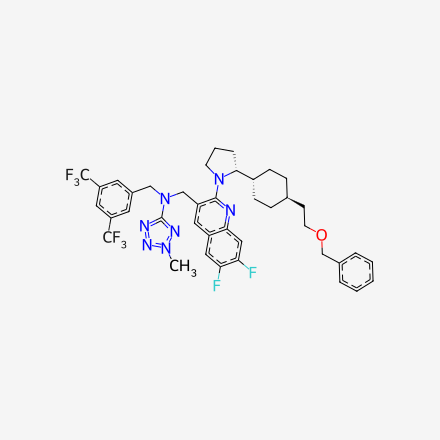 Cn1nnc(N(Cc2cc(C(F)(F)F)cc(C(F)(F)F)c2)Cc2cc3cc(F)c(F)cc3nc2N2CCC[C@@H]2[C@H]2CC[C@H](CCOCc3ccccc3)CC2)n1